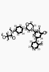 COC(C)(C)C(=O)N(C)c1ccc([C@H]2CN(c3nc(-c4ccncc4F)cc(=O)n3C)CCO2)cc1